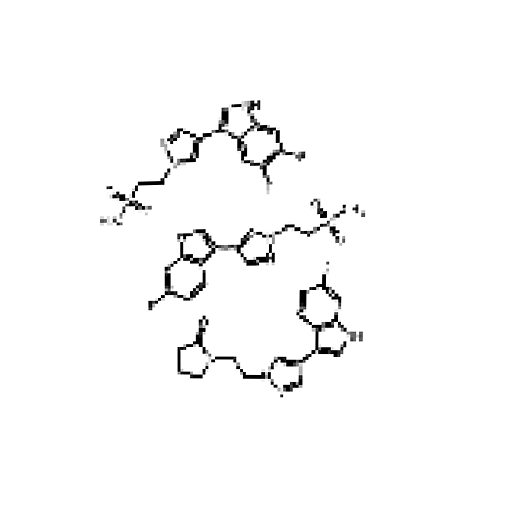 CS(=O)(=O)CCn1cc(-c2c[nH]c3cc(F)c(F)cc23)cn1.CS(=O)(=O)CCn1cc(-c2c[nH]c3cc(F)ccc23)cn1.O=C1CCCN1CCn1cc(-c2c[nH]c3cc(F)ccc23)cn1